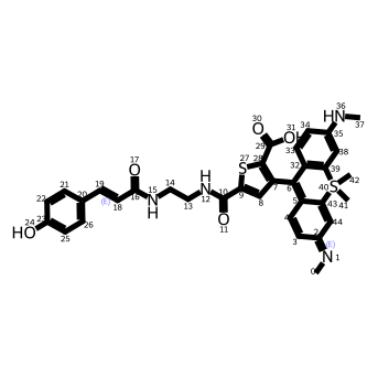 C/N=C1\C=CC2=C(c3cc(C(=O)NCCNC(=O)/C=C/c4ccc(O)cc4)sc3C(=O)O)c3ccc(NC)cc3S(C)(C)C2=C1